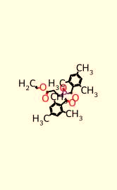 C=COC(=O)CCP(=O)(C(=O)c1c(C)cc(C)cc1C)C(=O)c1c(C)cc(C)cc1C